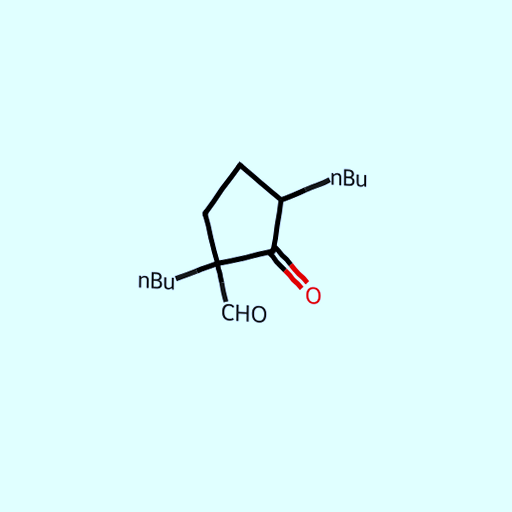 CCCCC1CCC(C=O)(CCCC)C1=O